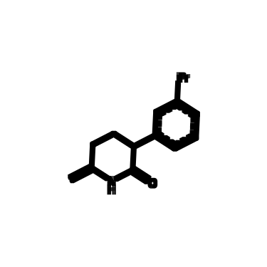 C=C1CCC(c2cccc(C(C)C)c2)C(=O)N1